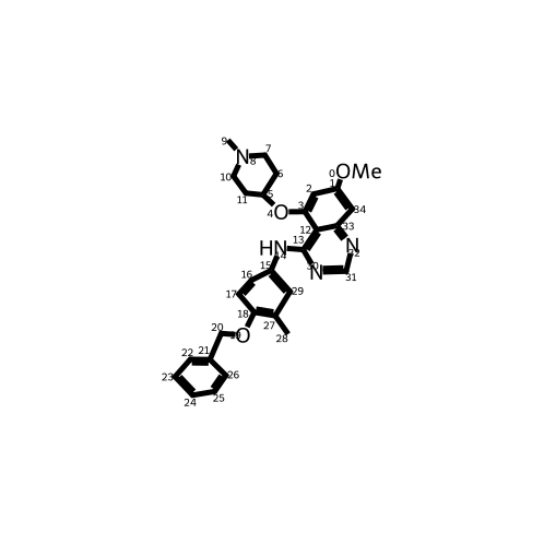 COc1cc(OC2CCN(C)CC2)c2c(Nc3ccc(OCc4ccccc4)c(C)c3)ncnc2c1